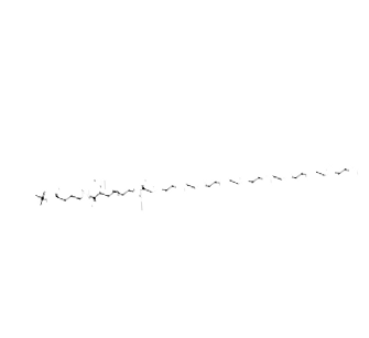 COCCOCCOCCOCCOCCOCCOCCOCCOCCOCC(=O)NCCCC[C@H](N)C(=O)NCCCC(=O)OC(C)(C)C